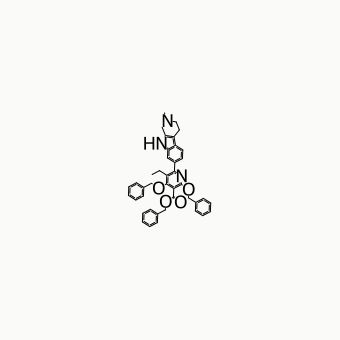 CCc1c(-c2ccc3c4c([nH]c3c2)CN(C)CC4)nc(OCc2ccccc2)c(C(=O)OCc2ccccc2)c1OCc1ccccc1